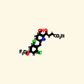 CCOC(=O)CCC(=O)c1nc(Cc2c(Cl)cc(OC(F)(F)F)cc2Cl)ccc1O